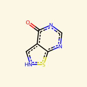 O=c1ncnc2s[nH]cc1-2